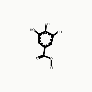 O=C(OCl)c1cc(O)c(O)c(O)c1